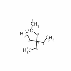 CCC(CC)(CC)COC